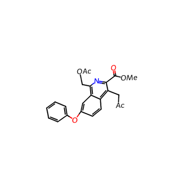 COC(=O)c1nc(COC(C)=O)c2cc(Oc3ccccc3)ccc2c1CC(C)=O